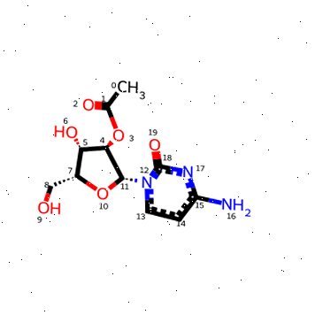 CC(=O)O[C@@H]1[C@@H](O)[C@@H](CO)O[C@H]1n1ccc(N)nc1=O